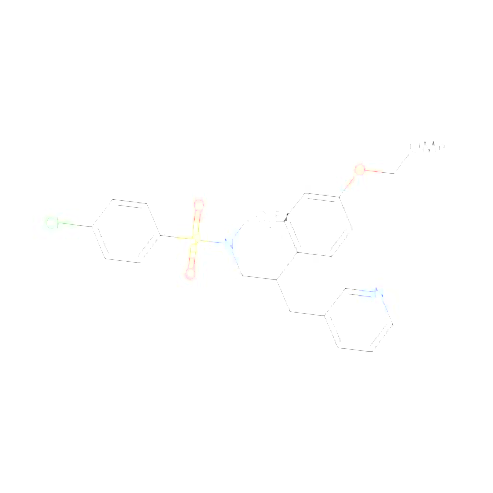 CCOC(=O)N(CC(Cc1cccnc1)c1ccc(OCOC)cc1)S(=O)(=O)c1ccc(Cl)cc1